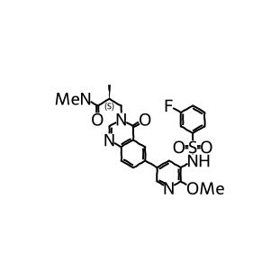 CNC(=O)[C@@H](C)Cn1cnc2ccc(-c3cnc(OC)c(NS(=O)(=O)c4cccc(F)c4)c3)cc2c1=O